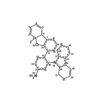 CC12C=CC=CC1c1cccc(-c3ccc(N)cc3-n3c4c(c5ccccc53)C=CCC4)c1O2